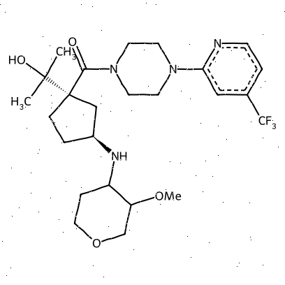 COC1COCCC1N[C@H]1CC[C@](C(=O)N2CCN(c3cc(C(F)(F)F)ccn3)CC2)(C(C)(C)O)C1